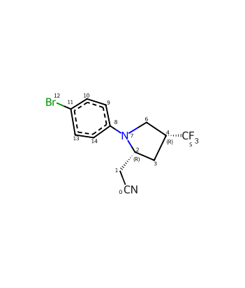 N#CC[C@H]1C[C@@H](C(F)(F)F)CN1c1ccc(Br)cc1